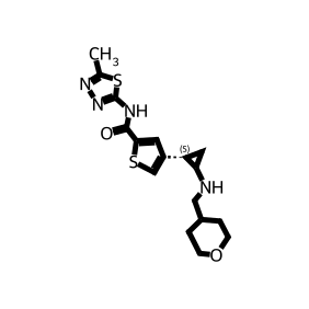 Cc1nnc(NC(=O)c2cc([C@@H]3CC3NCC3CCOCC3)cs2)s1